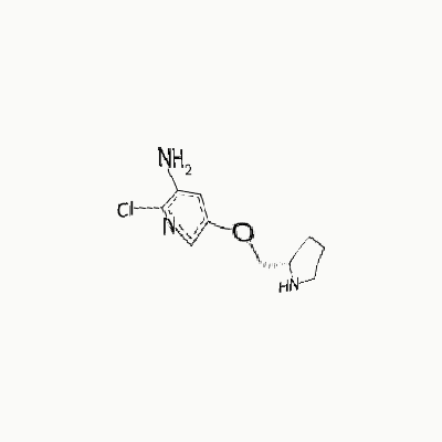 Nc1cc(OC[C@@H]2CCCN2)cnc1Cl